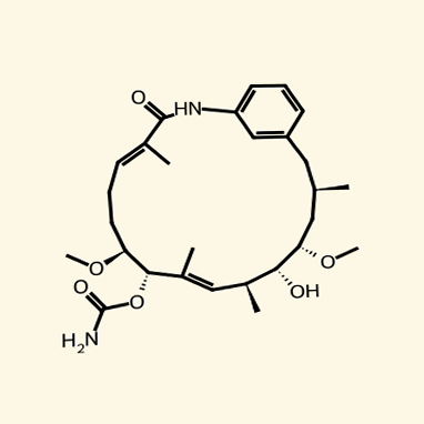 CO[C@H]1C[C@H](C)Cc2cccc(c2)NC(=O)/C(C)=C/CC[C@H](OC)[C@@H](OC(N)=O)/C(C)=C/[C@H](C)[C@H]1O